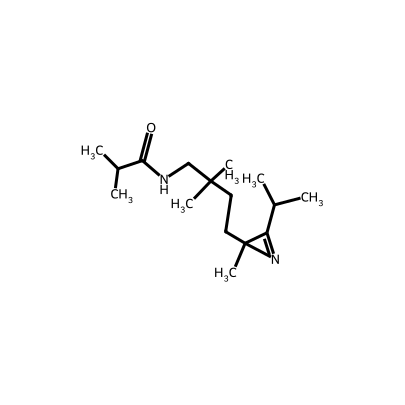 CC(C)C(=O)NCC(C)(C)CCC1(C)N=C1C(C)C